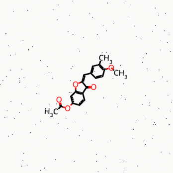 COc1ccc(C=C2Oc3cc(OC(C)=O)ccc3C2=O)cc1C